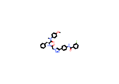 COc1ccc(N(C)C(=O)[C@H](Cc2ccccc2)NC(=O)Cn2cc(-c3ccc(NC(=O)c4cccc(F)c4)cc3)nn2)cc1